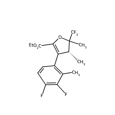 CCOC(=O)C1=C(c2ccc(F)c(F)c2C)[C@@H](C)C(C)(C(F)(F)F)O1